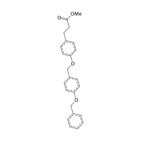 COC(=O)CCc1ccc(OCc2ccc(OCc3ccccc3)cc2)cc1